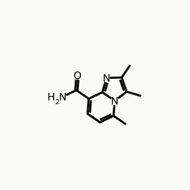 Cc1nc2c(C(N)=O)ccc(C)n2c1C